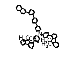 CC1(C)c2ccccc2-c2cccc(-c3ccc(N(c4ccc(-c5ccc(-c6cccc(-c7ccc8ccccc8c7)c6)cc5)cc4)c4ccc(-c5cccc6c5C(C)(C)c5ccccc5-6)cc4)cc3)c21